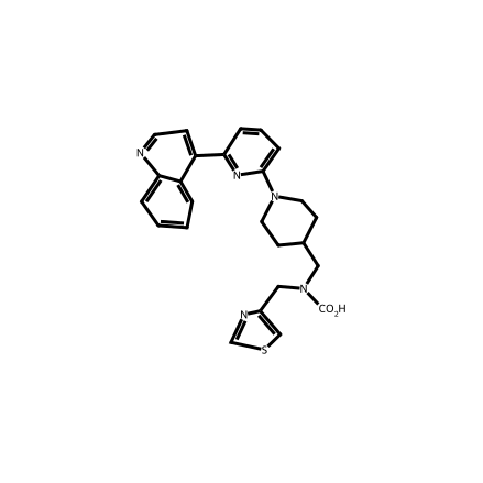 O=C(O)N(Cc1cscn1)CC1CCN(c2cccc(-c3ccnc4ccccc34)n2)CC1